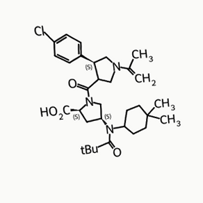 C=C(C)N1CC(C(=O)N2C[C@@H](N(C(=O)C(C)(C)C)C3CCC(C)(C)CC3)C[C@H]2C(=O)O)[C@@H](c2ccc(Cl)cc2)C1